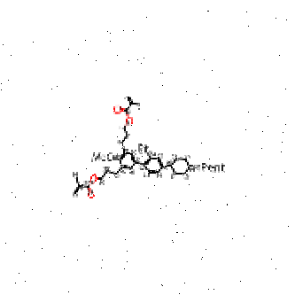 C=C(C)C(=O)OCCCc1cc(-c2ccc(C3CCC(CCCCC)CC3)cc2CC)cc(CCCOC(=O)C(=C)C)c1OC